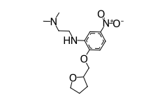 CN(C)CCNc1cc([N+](=O)[O-])ccc1OCC1CCCO1